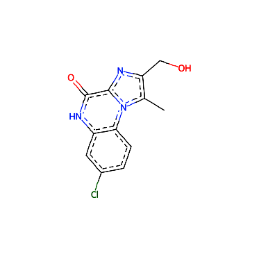 Cc1c(CO)nc2c(=O)[nH]c3cc(Cl)ccc3n12